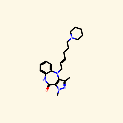 Cc1nn(C)c2c1N(CC=CCCCN1CCCCC1)c1ccccc1NC2=O